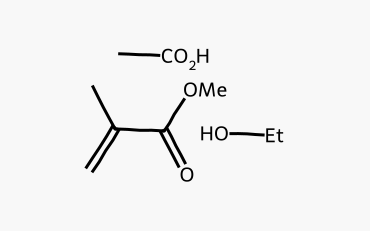 C=C(C)C(=O)OC.CC(=O)O.CCO